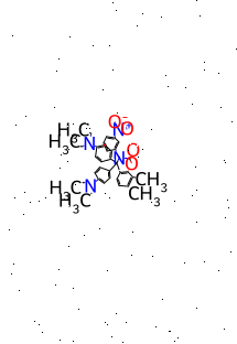 CCN(CC)c1ccc(C2(c3ccc(N(CC)CC)cc3)c3ccc(C)c(C)c3OC(=O)N2c2cccc([N+](=O)[O-])c2)cc1